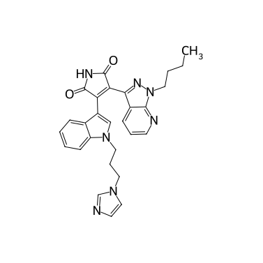 CCCCn1nc(C2=C(c3cn(CCCn4ccnc4)c4ccccc34)C(=O)NC2=O)c2cccnc21